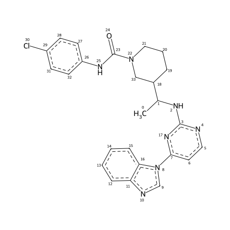 CC(Nc1nccc(-n2cnc3ccccc32)n1)C1CCCN(C(=O)Nc2ccc(Cl)cc2)C1